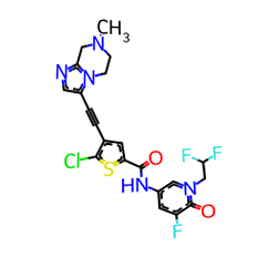 CN1CCn2c(C#Cc3cc(C(=O)Nc4cc(F)c(=O)n(CC(F)F)c4)sc3Cl)cnc2C1